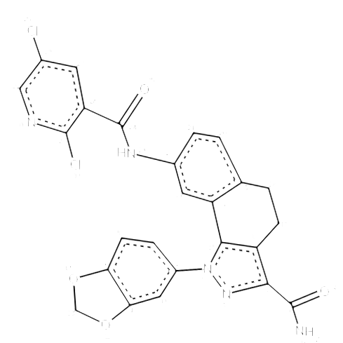 NC(=O)c1nn(-c2ccc3c(c2)OCO3)c2c1CCc1ccc(NC(=O)c3cc(Cl)cnc3Cl)cc1-2